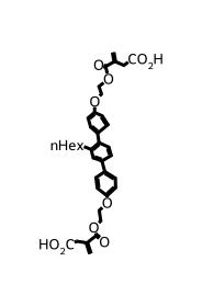 C=C(CC(=O)O)C(=O)OCCOc1ccc(-c2ccc(-c3ccc(OCCOC(=O)C(=C)CC(=O)O)cc3)c(CCCCCC)c2)cc1